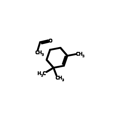 CC1=CC(C)(C)CCC1.CC=O